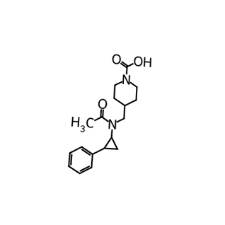 CC(=O)N(CC1CCN(C(=O)O)CC1)C1CC1c1ccccc1